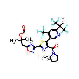 C[C@H]1CCCN1C(=O)c1nc(-c2noc(CC(C)(C)OC=O)n2)sc1-c1cnc(C(C)(C(F)(F)F)C(F)(F)F)cc1C(F)(F)F